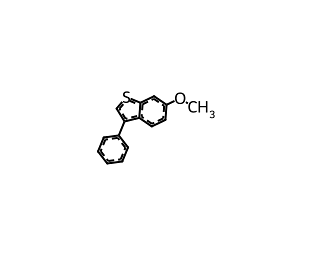 COc1ccc2c(-c3ccccc3)csc2c1